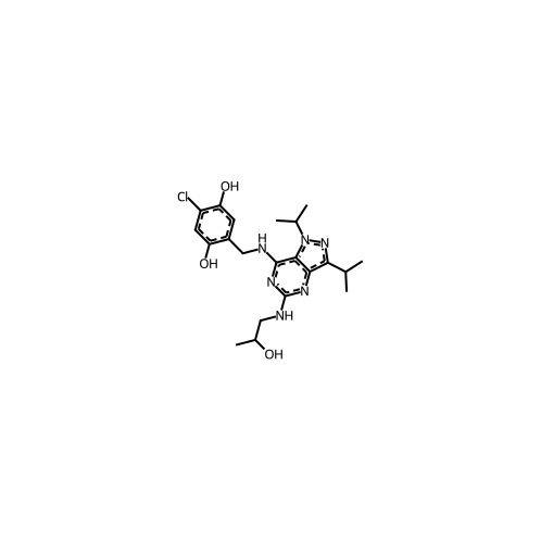 CC(O)CNc1nc(NCc2cc(O)c(Cl)cc2O)c2c(n1)c(C(C)C)nn2C(C)C